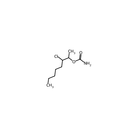 CCCCCC(Cl)C(C)OC(N)=O